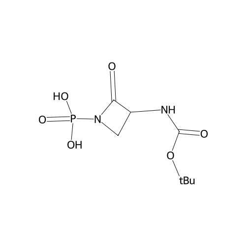 CC(C)(C)OC(=O)NC1CN(P(=O)(O)O)C1=O